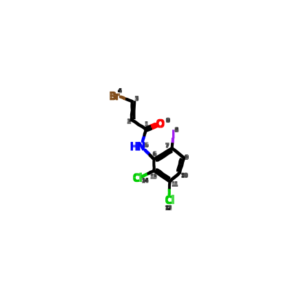 O=C(C=CBr)Nc1c(I)ccc(Cl)c1Cl